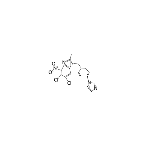 Cc1nc2c([N+](=O)[O-])c(Cl)c(Cl)cc2n1Cc1ccc(-n2cncn2)cc1